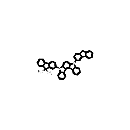 CC1(C)c2ccccc2-c2ccc(-n3c4ccccc4c4c5c6ccccc6n(-c6ccc7c(c6)-c6ccccc6C7)c5ccc43)cc21